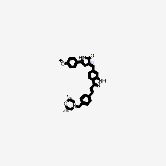 COc1ccc(C2C/C(=C\c3ccc4c(C=Cc5ccc(CN6C[C@@H](C)O[C@@H](C)C6)cc5)n[nH]c4c3)C(=O)N2)cc1